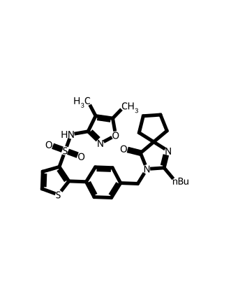 CCCCC1=NC2(CCCC2)C(=O)N1Cc1ccc(-c2sccc2S(=O)(=O)Nc2noc(C)c2C)cc1